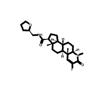 CN1C(=O)C(F)=C[C@]2(C)[C@H]3CC[C@]4(C)[C@@H](C(=O)NC[C@H]5CCCO5)CC[C@H]4[C@@H]3CC[C@@H]12